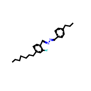 CCCCCCCc1ccc(C=NN=Cc2ccc(CCC)cc2)c(F)c1